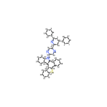 c1ccc(-c2cc(-c3ccccc3)nc(-c3cnc(-n4c5ccccc5c5c6c7ccccc7sc6c6ccccc6c54)cn3)c2)cc1